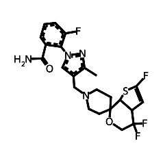 Cc1nn(-c2c(F)cccc2C(N)=O)cc1CN1CCC2(CC1)OCC(F)(F)C1C=C(F)SC12